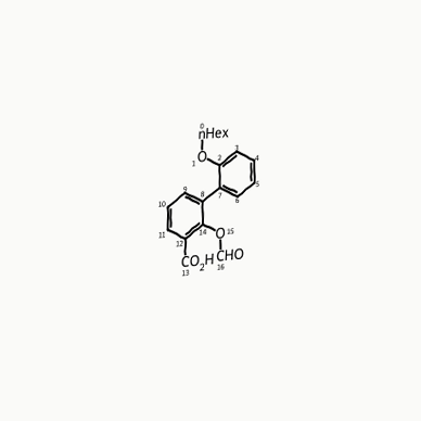 CCCCCCOc1ccccc1-c1cccc(C(=O)O)c1OC=O